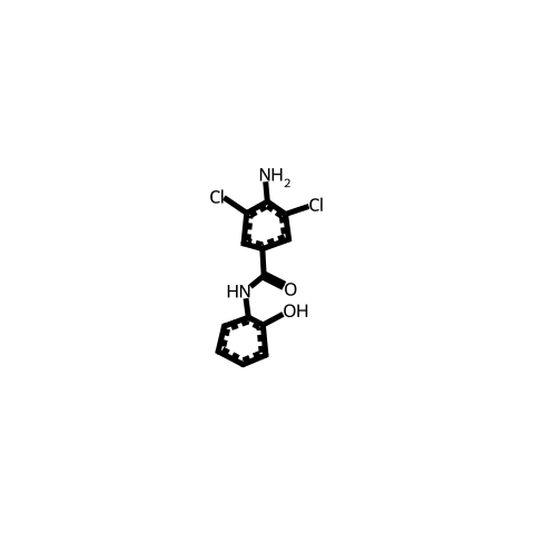 Nc1c(Cl)cc(C(=O)Nc2ccccc2O)cc1Cl